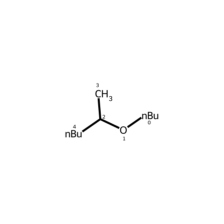 [CH2]CCCOC(C)CCCC